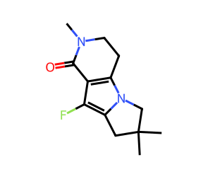 CN1CCc2c(c(F)c3n2CC(C)(C)C3)C1=O